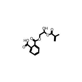 C=C(C)C(=O)OC(O)COC(=O)c1ccccc1C(=O)O